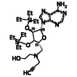 C#CCN(CCO)C[C@H]1O[C@@H](n2cnc3c(N)ncnc32)[C@H](O[Si](CC)(CC)CC)C1O[Si](CC)(CC)CC